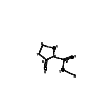 COC(=O)C1OCCC1=O